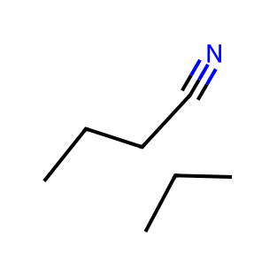 CCC.CCCC#N